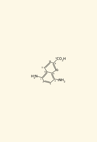 Nc1ccc(N)c2nc(C(=O)O)ccc12